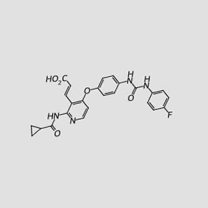 O=C(O)C=Cc1c(Oc2ccc(NC(=O)Nc3ccc(F)cc3)cc2)ccnc1NC(=O)C1CC1